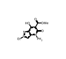 CCn1cc2c(n1)c(O)c(C(=O)OC)c(=O)n2P